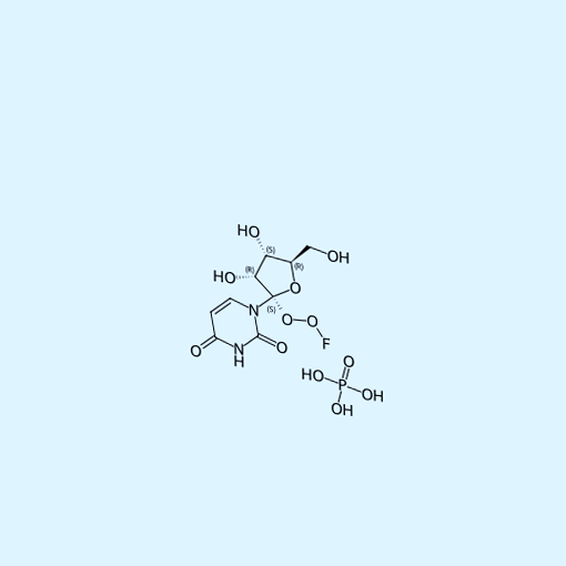 O=P(O)(O)O.O=c1ccn([C@]2(OOF)O[C@H](CO)[C@@H](O)[C@H]2O)c(=O)[nH]1